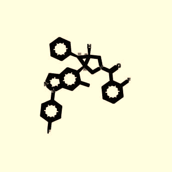 Cc1cc2c(cnn2-c2ccc(F)cc2)cc1[C@]12CN(C(=O)c3ccccc3F)C[C@H]1[C@@H]2c1ccccc1